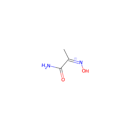 C/C(=N/O)C(N)=O